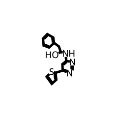 OC(Cc1ccccc1)Nc1cc(-c2cccs2)ncn1